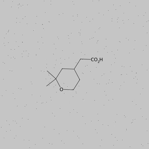 CC1(C)CC(CC(=O)O)CCO1